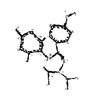 COc1ccc(C(=NP(C(C)C)C(C)C)Nc2c(C)cc(C)cc2C)cc1